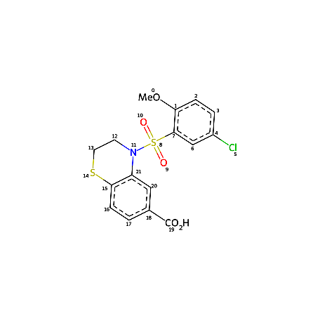 COc1ccc(Cl)cc1S(=O)(=O)N1CCSc2ccc(C(=O)O)cc21